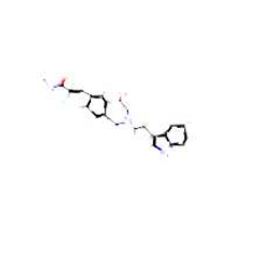 CNC(=O)/C(F)=C/c1ccc(CN(CCO)CCc2c[nH]c3ccccc23)cc1